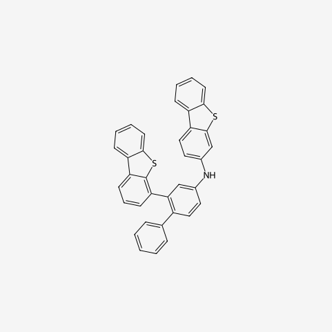 c1ccc(-c2ccc(Nc3ccc4c(c3)sc3ccccc34)cc2-c2cccc3c2sc2ccccc23)cc1